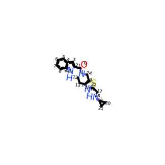 O=C(c1cc2ccccc2[nH]1)N1CCc2nc(CNC3CC3)sc2C1